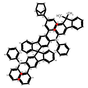 CC1(C)c2ccccc2-c2cc(N(c3ccccc3)c3cc4c(cc3-c3cccc(C5CC6CCC5C6)c3)-c3ccccc3C43c4ccccc4-c4cc(-c5ccccc5)c(N(c5ccccc5)c5ccccc5)cc43)ccc21